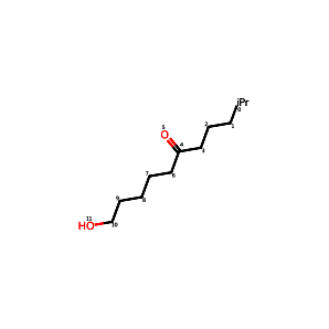 CC(C)CCCC(=O)CCCCCO